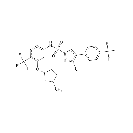 CN1CC[C@@H](Oc2cc(NS(=O)(=O)c3cc(-c4ccc(C(F)(F)F)cc4)c(Cl)s3)ccc2C(F)(F)F)C1